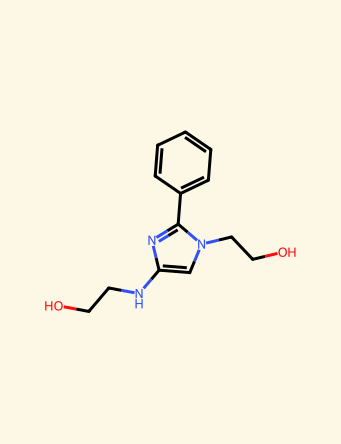 OCCNc1cn(CCO)c(-c2ccccc2)n1